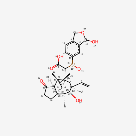 C=C[C@]1(C)C[C@@H](C(C(=O)O)[S@+]([O-])c2ccc3c(c2)B(O)OC3)[C@]2(C)[C@H](C)CC[C@]3(CCC(=O)[C@H]32)[C@@H](C)[C@@H]1O